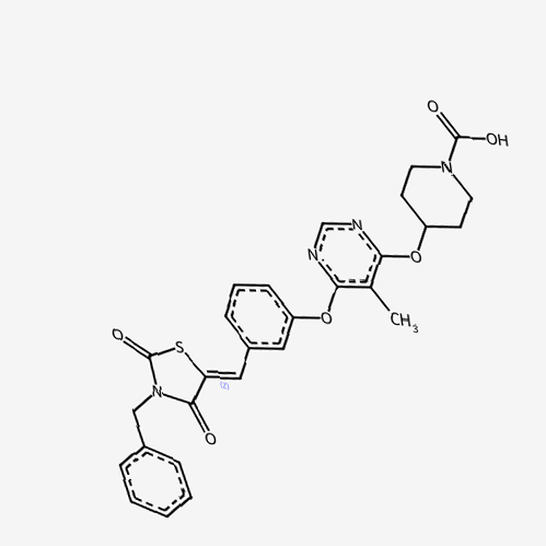 Cc1c(Oc2cccc(/C=C3\SC(=O)N(Cc4ccccc4)C3=O)c2)ncnc1OC1CCN(C(=O)O)CC1